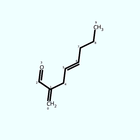 C=C([C]=O)CC=CCCC